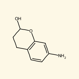 Nc1ccc2c(c1)OC(O)CC2